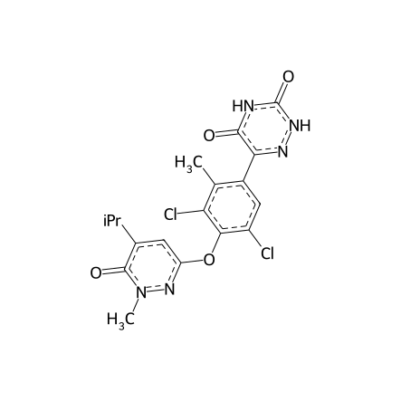 Cc1c(-c2n[nH]c(=O)[nH]c2=O)cc(Cl)c(Oc2cc(C(C)C)c(=O)n(C)n2)c1Cl